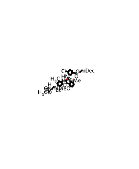 CCCCCCCCCCCCOC(=O)c1ccc(Cl)c(NC(=O)/C(=N/c2ccc(N(CC)CCNS(C)(=O)=O)cc2C)C(=O)c2c(OC)cccc2OC)c1